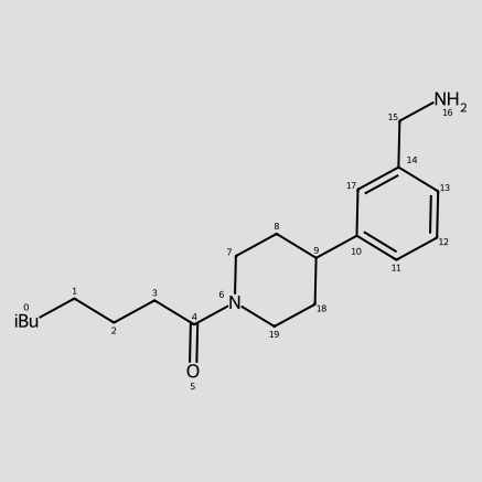 CCC(C)CCCC(=O)N1CCC(c2cccc(CN)c2)CC1